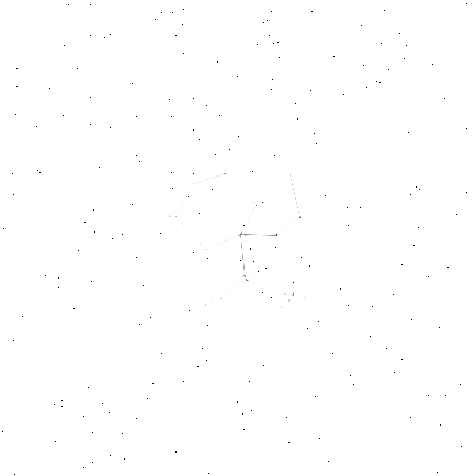 C/C=C\C1(C(=O)OC)CCCCC1